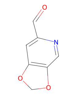 O=Cc1cc2c(cn1)OCO2